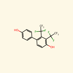 Oc1ccc(-c2ccc(O)c(C(F)(F)C(F)(F)F)c2C(F)(F)C(F)(F)F)cc1